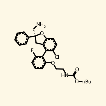 CCCCOC(=O)NCCOc1cccc(F)c1-c1c(Cl)ccc2c1C[C@@](CN)(c1ccccc1)O2